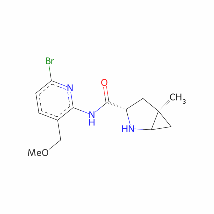 COCc1ccc(Br)nc1NC(=O)[C@@H]1C[C@@]2(C)CC2N1